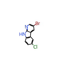 Clc1ccc2[nH]c3ncc(Br)cc3c2c1